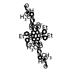 CCc1cccc(Oc2cc3c4c(cc(Oc5cccc(CC)c5)c5c6c(Oc7cccc(CC)c7)cc7c8c(cc(Oc9cccc(CC)c9)c(c2c45)c86)C(=O)N(C(C(=O)N2CCN(c4cccc(C(=O)NCC5CO5)c4C)CC2)C(C)C)C7=O)C(=O)N(C(C)C(=O)N2CCN(c4cccc(C(=O)NCC5CO5)c4C)CC2)C3=O)c1